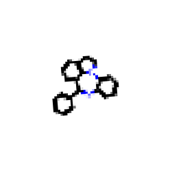 c1ccc(C2=Nc3ccccc3N3CCc4cccc2c43)cc1